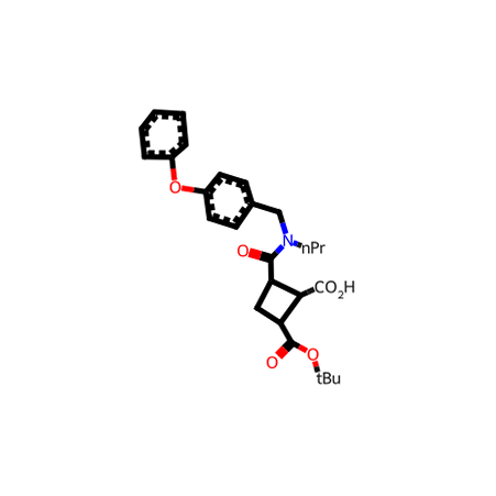 CCCN(Cc1ccc(Oc2ccccc2)cc1)C(=O)C1CC(C(=O)OC(C)(C)C)C1C(=O)O